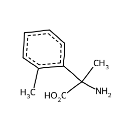 Cc1ccccc1C(C)(N)C(=O)O